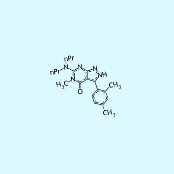 CCCN(CCC)c1nc2n[nH]c(-c3ccc(C)cc3C)c2c(=O)n1C